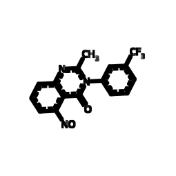 Cc1nc2cccc(N=O)c2c(=O)n1-c1cccc(C(F)(F)F)c1